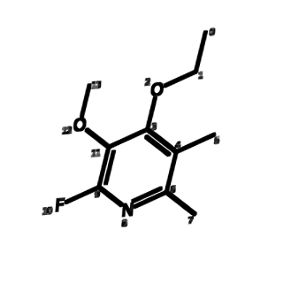 CCOc1c(C)c(C)nc(F)c1OC